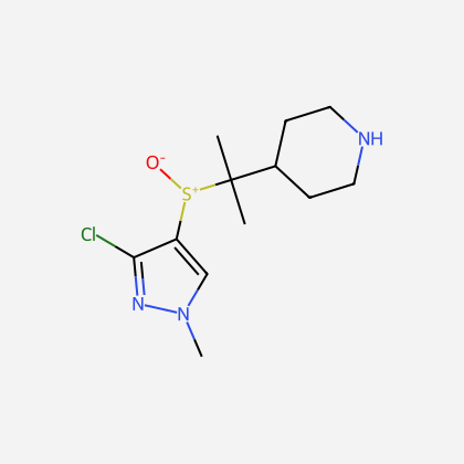 Cn1cc([S+]([O-])C(C)(C)C2CCNCC2)c(Cl)n1